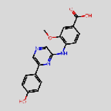 COc1cc(C(=O)O)ccc1Nc1cncc(-c2ccc(O)cc2)n1